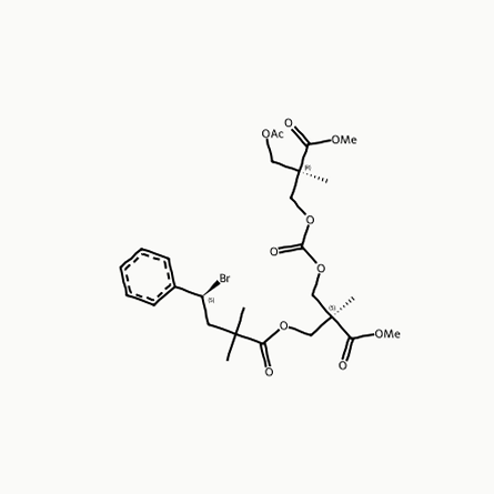 COC(=O)[C@](C)(COC(C)=O)COC(=O)OC[C@](C)(COC(=O)C(C)(C)C[C@H](Br)c1ccccc1)C(=O)OC